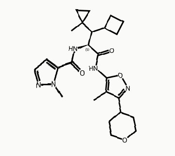 Cc1c(C2CCOCC2)noc1NC(=O)[C@@H](NC(=O)c1ccnn1C)C(C1CCC1)C1(C)CC1